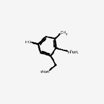 CCCCCCCCCCc1cc(O)cc(C)c1CCCCC